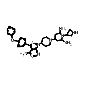 BC1CC(N2CCC(n3nc(-c4ccc(Oc5ccccc5)cc4)c4c(N)ncnc43)CC2)CC(N)N1C1CNC1